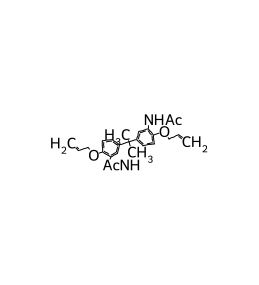 C=CCOc1ccc(C(C)(C)c2ccc(OCC=C)c(NC(C)=O)c2)cc1NC(C)=O